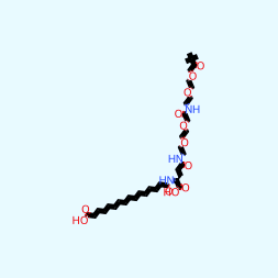 CC(C)(C)C(=O)COCCOCCNC(=O)COCCOCCNC(=O)CC[C@H](NC(=O)CCCCCCCCCCCCCCC(=O)O)C(=O)O